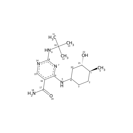 C[C@H]1CCC(Nc2nc(NC(C)(C)C)ncc2C(N)=O)C[C@@H]1O